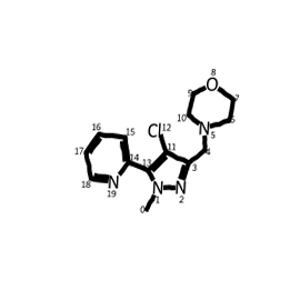 Cn1nc(CN2CCOCC2)c(Cl)c1-c1ccccn1